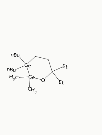 CCC[CH2][Ge]1([CH2]CCC)[CH2]CC(CC)(CC)[O][Ge]1([CH3])[CH3]